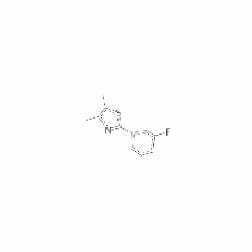 [CH2]c1nc(-c2cccc(F)c2)sc1C